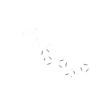 CCCN(CCCOc1cc2nccc(Oc3ccc(NC(=O)C4(C(=O)Nc5ccc(F)cc5)CCC4)cc3F)c2cc1OC)CCN(C)C